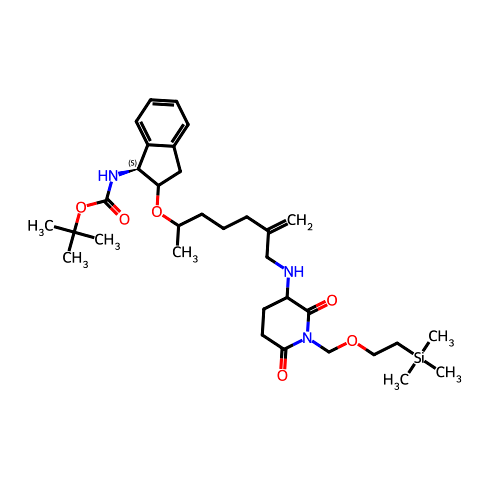 C=C(CCCC(C)OC1Cc2ccccc2[C@@H]1NC(=O)OC(C)(C)C)CNC1CCC(=O)N(COCC[Si](C)(C)C)C1=O